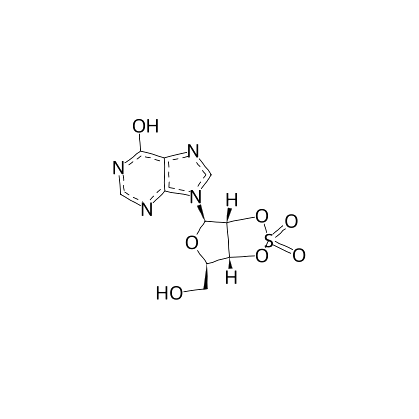 O=S1(=O)O[C@@H]2[C@H](O1)[C@@H](CO)O[C@H]2n1cnc2c(O)ncnc21